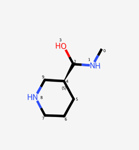 CNC(O)[C@H]1CCCNC1